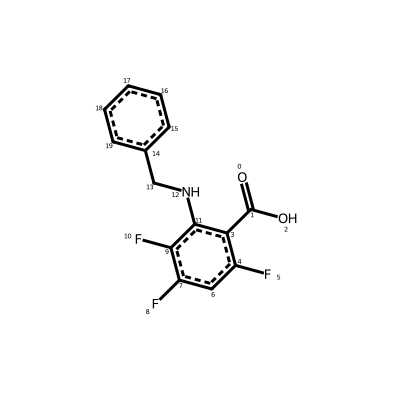 O=C(O)c1c(F)cc(F)c(F)c1NCc1ccccc1